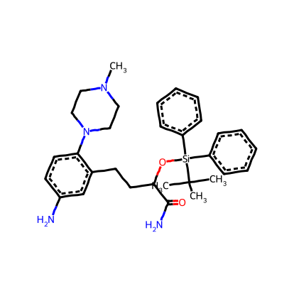 CN1CCN(c2ccc(N)cc2CCC(O[Si](c2ccccc2)(c2ccccc2)C(C)(C)C)C(N)=O)CC1